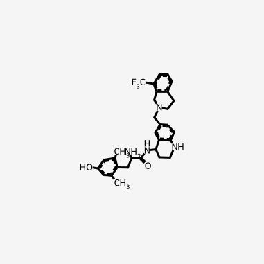 Cc1cc(O)cc(C)c1CC(N)C(=O)NC1CCNc2ccc(CN3CCc4cccc(C(F)(F)F)c4C3)cc21